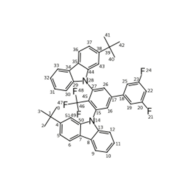 CC(C)(C)c1ccc2c3ccccc3n(-c3cc(-c4cc(F)cc(F)c4)cc(-n4c5ccccc5c5ccc(C(C)(C)C)cc54)c3C(F)(F)F)c2c1